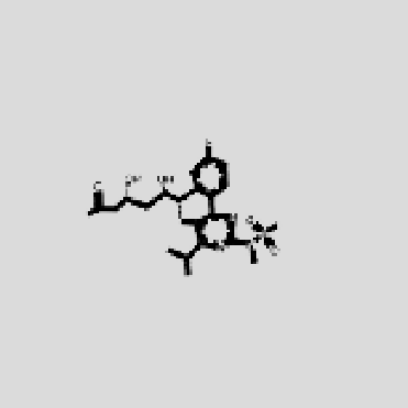 CC(=O)C[C@H](O)C[C@H](O)[C@H]1Cc2c(nc(N(C)S(C)(=O)=O)nc2C(C)C)-c2ccc(F)cc21